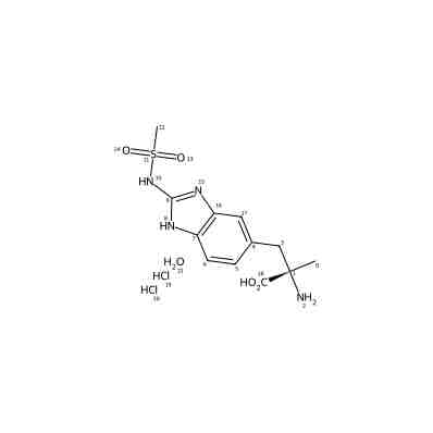 C[C@](N)(Cc1ccc2[nH]c(NS(C)(=O)=O)nc2c1)C(=O)O.Cl.Cl.O